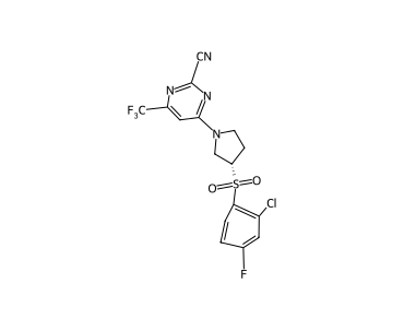 N#Cc1nc(N2CC[C@H](S(=O)(=O)c3ccc(F)cc3Cl)C2)cc(C(F)(F)F)n1